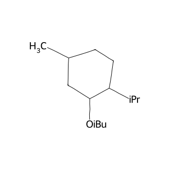 CC(C)COC1CC(C)CCC1C(C)C